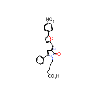 O=C(O)CCCCN1C(=O)/C(=C/c2ccc(-c3ccc([N+](=O)[O-])cc3)o2)C=C1c1ccccc1